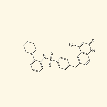 O=c1cc(C(F)(F)F)c2cc(Cc3ccc(S(=O)(=O)Nc4ccccc4N4CCCCC4)cc3)ccc2[nH]1